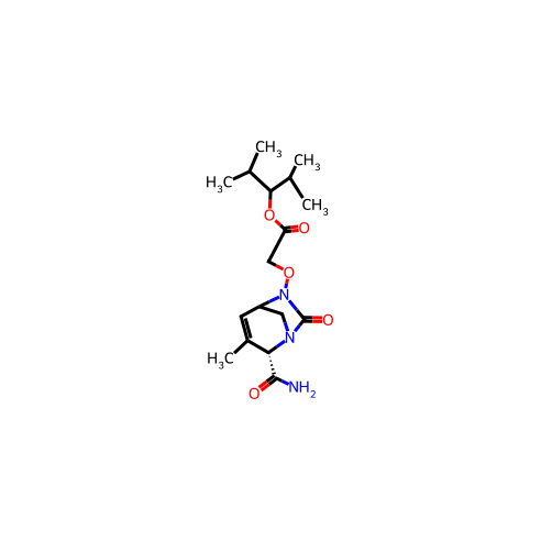 CC1=CC2CN(C(=O)N2OCC(=O)OC(C(C)C)C(C)C)[C@@H]1C(N)=O